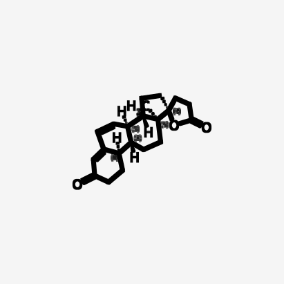 C[C@]12CC[C@H]3[C@@H](C=CC4=CC(=O)CC[C@@H]43)[C@@H]1CC[C@@]21CCC(=O)O1